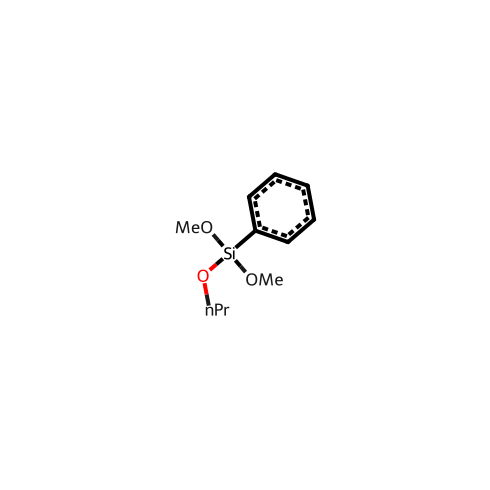 CCCO[Si](OC)(OC)c1ccccc1